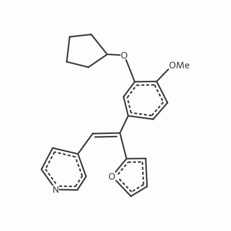 COc1ccc(C(=Cc2ccncc2)c2ccco2)cc1OC1CCCC1